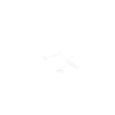 CC(=O)OS(C)(=N)=O